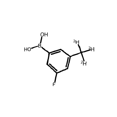 [2H]C([2H])([2H])c1cc(F)cc(B(O)O)c1